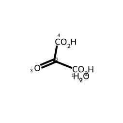 O.O=C(O)C(=O)C(=O)O